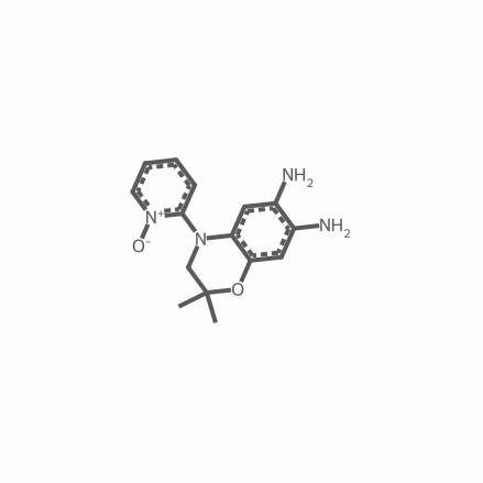 CC1(C)CN(c2cccc[n+]2[O-])c2cc(N)c(N)cc2O1